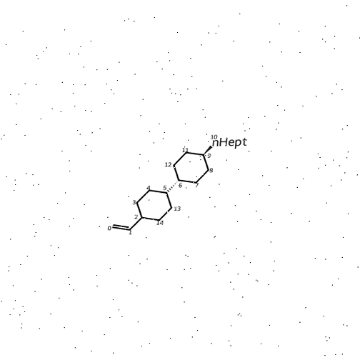 C=CC1CCC([C@H]2CC[C@H](CCCCCCC)CC2)CC1